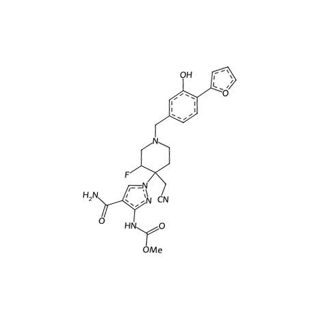 COC(=O)Nc1nn(C2(CC#N)CCN(Cc3ccc(-c4ccco4)c(O)c3)CC2F)cc1C(N)=O